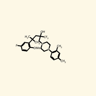 COc1ccc(F)cc1C(C)(C)CC(O)(CN1CCN(c2ccc(C)cc2C)CC1)C(F)(F)F